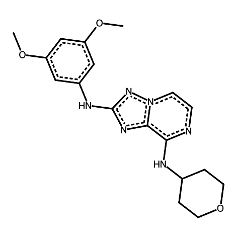 COc1cc(Nc2nc3c(NC4CCOCC4)nccn3n2)cc(OC)c1